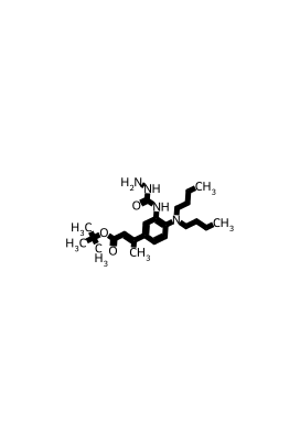 CCCCN(CCCC)c1ccc(/C(C)=C/C(=O)OC(C)(C)C)cc1NC(=O)NN